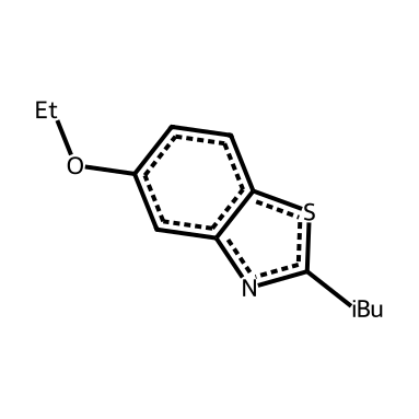 CCOc1ccc2sc(C(C)CC)nc2c1